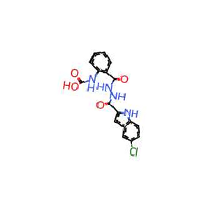 O=C(O)Nc1ccccc1C(=O)NNC(=O)c1cc2cc(Cl)ccc2[nH]1